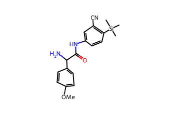 COc1ccc(C(N)C(=O)Nc2ccc([Si](C)(C)C)c(C#N)c2)cc1